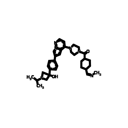 C/N=C\C1CCC(C(=O)N2CCN(c3ccnn4cc(-c5ccc(C6(O)CN(C(C)C)C6)cc5)cc34)CC2)CC1